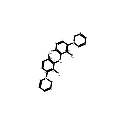 Fc1ccc(N2C=CC=CC2)c(F)[c]1[Ti][c]1c(F)ccc(N2C=CC=CC2)c1F